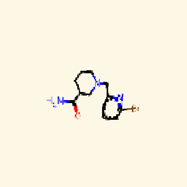 NC(=O)C1CCCN(Cc2cccc(Br)n2)C1